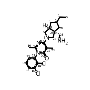 CCC1C[C@@H]2CN(c3nc(C)n(-c4cccc(Cl)c4Cl)c(=O)c3C)C[C@]2(CN)C1